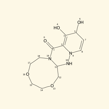 O=C1C2=C(O)C(O)C=CN2NC2COCCOCCN12